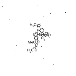 C=CC(=O)N1CC(Oc2cc3c(Nc4c(C(C)(C)O)ccc(-c5cc(C)cs5)c4F)ncnc3cc2OC)C1